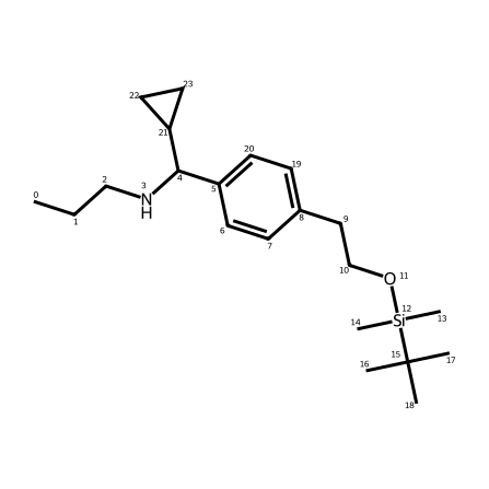 CCCNC(c1ccc(CCO[Si](C)(C)C(C)(C)C)cc1)C1CC1